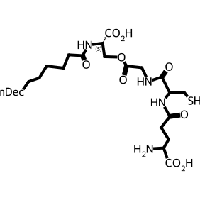 CCCCCCCCCCCCCCCC(=O)N[C@@H](COC(=O)CNC(=O)C(CS)NC(=O)CCC(N)C(=O)O)C(=O)O